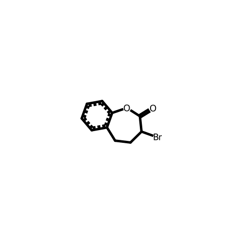 O=C1Oc2ccccc2CCC1Br